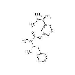 C[C@@H](c1cccc(OC(=O)N(C)[C@@H](C)Cc2ccccc2)c1)N(C)C